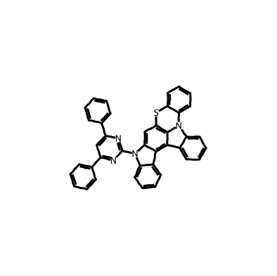 c1ccc(-c2cc(-c3ccccc3)nc(-n3c4ccccc4c4c5c6ccccc6n6c5c(cc43)Sc3ccccc3-6)n2)cc1